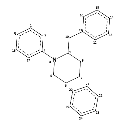 [c]1ccc(N2CCCCC2Cc2ccccc2)cc1.[c]1ccccc1